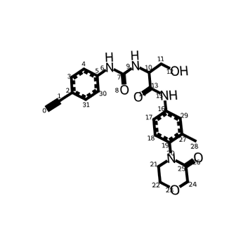 C#Cc1ccc(NC(=O)NC(CO)C(=O)Nc2ccc(N3CCOCC3=O)c(C)c2)cc1